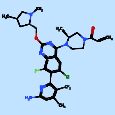 C=CC(=O)N1CCN(c2nc(OC[C@@H]3CC(C)CN3C)nc3c(F)c(-c4nc(N)cc(C)c4C(F)(F)F)c(Cl)cc23)[C@@H](C)C1